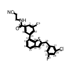 N#CCCNC(=O)c1cc(F)cc(-c2cccc3cc(Cc4cc(F)cc(Cl)c4)sc23)c1